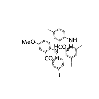 COc1ccc(Nc2ccc(I)cc2)c(C(=O)O)c1.Cc1ccc(Nc2ccc(I)cc2C)c(C(=O)O)c1